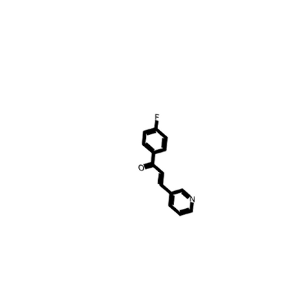 O=C(C=Cc1cccnc1)c1ccc(F)cc1